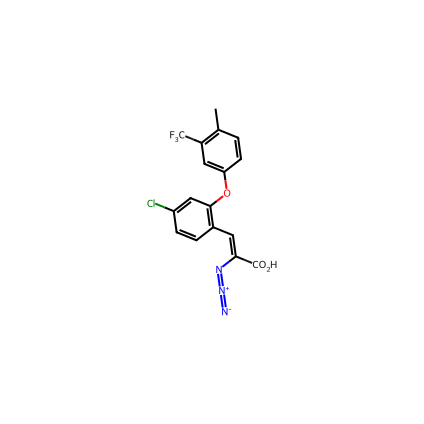 Cc1ccc(Oc2cc(Cl)ccc2C=C(N=[N+]=[N-])C(=O)O)cc1C(F)(F)F